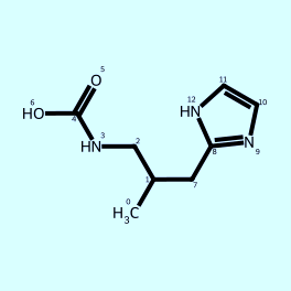 CC(CNC(=O)O)Cc1ncc[nH]1